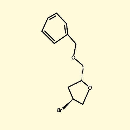 Br[C@@H]1CO[C@@H](COCc2ccccc2)C1